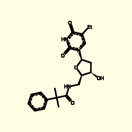 CCc1cn([C@H]2C[C@H](O)[C@@H](CNC(=O)C(C)(C)c3ccccc3)O2)c(=O)[nH]c1=O